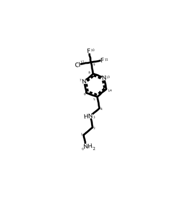 NCCNCc1cnc(C(F)(F)Cl)nc1